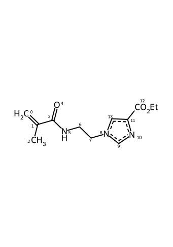 C=C(C)C(=O)NCCn1cnc(C(=O)OCC)c1